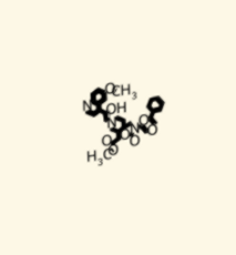 COC(=O)CC1CN(C[C@@H](O)c2ccnc3ccc(OC)cc23)CCC12CN(C1=COC=C(C3=CC=CCC3)O1)C(=O)O2